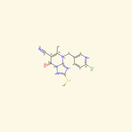 CSc1nc2n(Cc3ccc(Cl)nc3)c(C)c(C#N)c(=O)n2n1